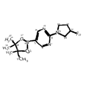 CC1(C)OB(c2cnc(N3CCC(F)C3)nc2)OC1(C)C